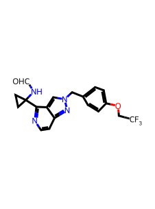 O=CNC1(c2nccc3nn(Cc4ccc(OCC(F)(F)F)cc4)cc23)CC1